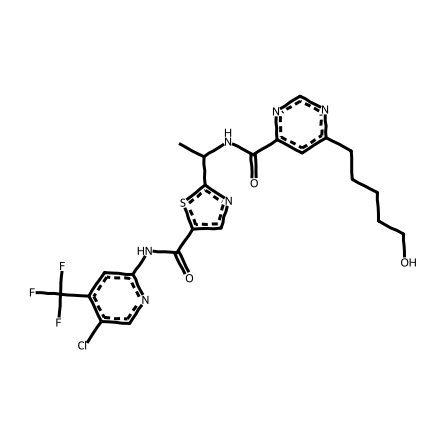 CC(NC(=O)c1cc(CCCCCO)ncn1)c1ncc(C(=O)Nc2cc(C(F)(F)F)c(Cl)cn2)s1